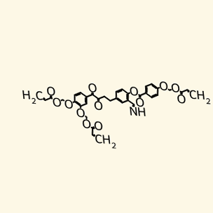 C=CC(=O)OCOc1ccc(C(=O)Oc2ccc(CCC(=O)C(=O)c3ccc(OCOC(=O)C=C)c(OCOC(=O)C=C)c3)cc2C=N)cc1